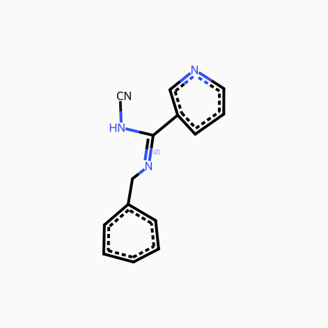 N#CN/C(=N\Cc1ccccc1)c1cccnc1